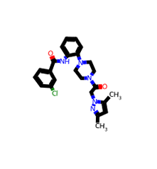 Cc1cc(C)n(CC(=O)N2CCN(c3ccccc3NC(=O)c3cccc(Cl)c3)CC2)n1